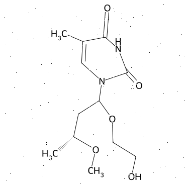 CO[C@H](C)CC(OCCO)n1cc(C)c(=O)[nH]c1=O